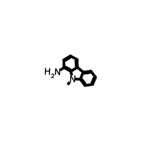 Cn1c2ccccc2c2cccc(N)c21